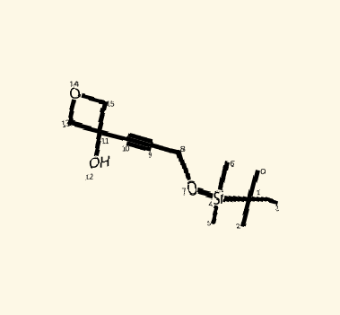 CC(C)(C)[Si](C)(C)OCC#CC1(O)COC1